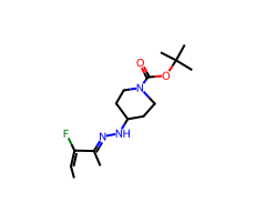 C/C=C(F)\C(C)=N\NC1CCN(C(=O)OC(C)(C)C)CC1